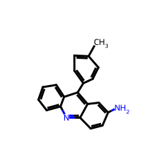 Cc1ccc(-c2c3ccccc3nc3ccc(N)cc23)cc1